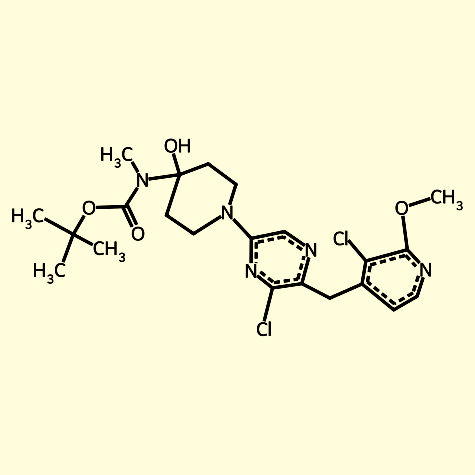 COc1nccc(Cc2ncc(N3CCC(O)(N(C)C(=O)OC(C)(C)C)CC3)nc2Cl)c1Cl